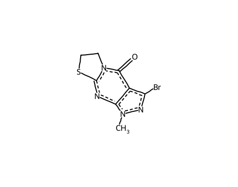 Cn1nc(Br)c2c(=O)n3c(nc21)SCC3